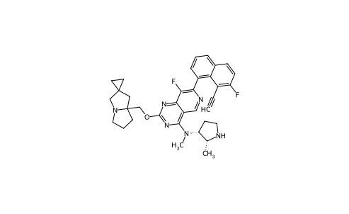 C#Cc1c(F)ccc2cccc(-c3ncc4c(N(C)[C@@H]5CCN[C@@H]5C)nc(OCC56CCCN5CC5(CC5)C6)nc4c3F)c12